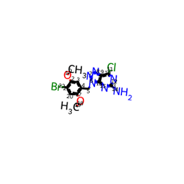 COc1cc(Cn2nnc3c(Cl)nc(N)nc32)c(OC)cc1Br